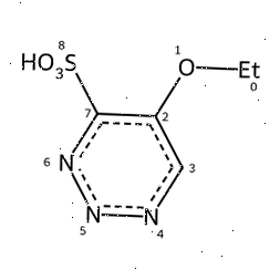 CCOc1cnnnc1S(=O)(=O)O